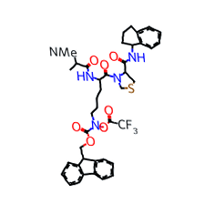 CNC(C)C(=O)NC(CCCCN(OC(=O)C(F)(F)F)C(=O)OCC1c2ccccc2-c2ccccc21)C(=O)N1CSCC1C(=O)NC1CCCc2ccccc21